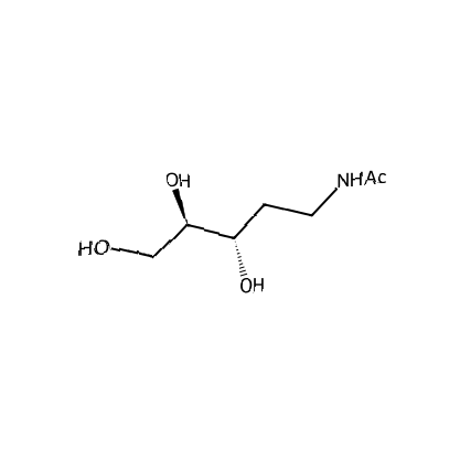 CC(=O)NCC[C@H](O)[C@H](O)CO